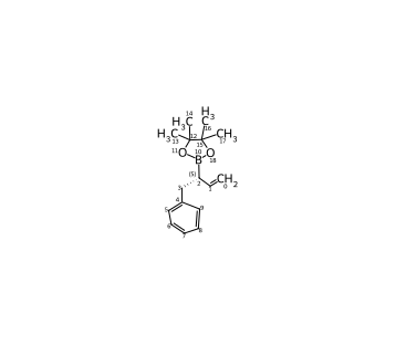 C=C[C@H](Cc1ccccc1)B1OC(C)(C)C(C)(C)O1